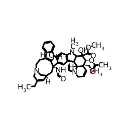 CCC1=C[C@@H]2CN(CCc3c([nH]c4ccccc34)[C@@](NC=O)(c3cc4c(cc3C)N(C)C3C(O)(C(=O)OC)[C@H](OC(C)=O)[C@]5(CC)C=CCN6CC[C@]43[C@@H]65)C2)C1